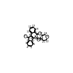 O=C1c2ccccc2-c2c1c1ccccc1c(=O)n2ON1CCOCC1